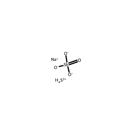 [Na+].[O]=[Sb]([O-])([O-])[O-].[SH4+2]